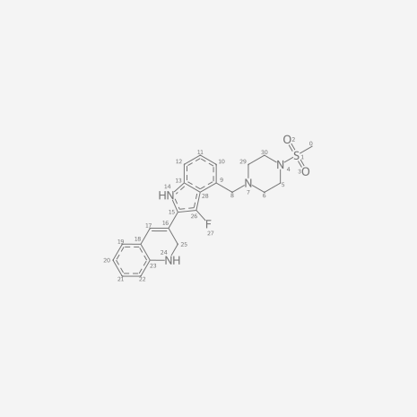 CS(=O)(=O)N1CCN(Cc2cccc3[nH]c(C4=Cc5ccccc5NC4)c(F)c23)CC1